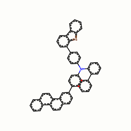 c1ccc(-c2ccccc2N(c2ccc(-c3ccc4ccc5c6ccccc6ccc5c4c3)cc2)c2ccc(-c3cccc4c3sc3ccccc34)cc2)cc1